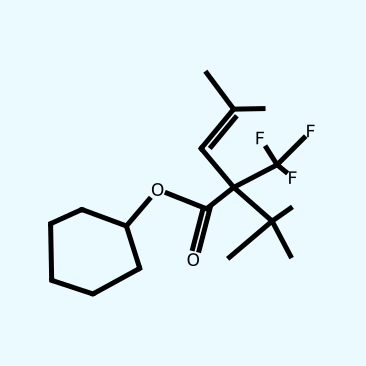 CC(C)=CC(C(=O)OC1CCCCC1)(C(C)(C)C)C(F)(F)F